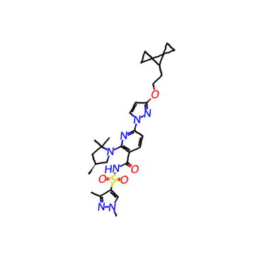 Cc1nn(C)cc1S(=O)(=O)NC(=O)c1ccc(-n2ccc(OCCC3C4(CC4)C34CC4)n2)nc1N1C[C@@H](C)CC1(C)C